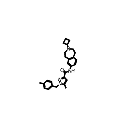 Cc1ccc(Cn2nc(C(=O)Nc3ccc4c(c3)CCN(C3CCC3)CC4)cc2C)cc1